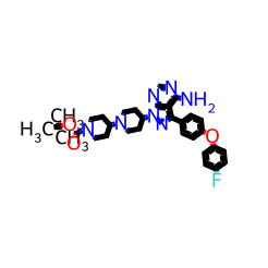 CC(C)(C)OC(=O)N1CCC(N2CCC(n3nc(-c4ccc(Oc5ccc(F)cc5)cc4)c4c(N)ncnc43)CC2)CC1